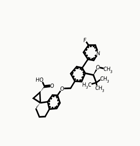 CO[C@H](c1cc(COc2ccc3c(c2)[C@@]2(CCC3)C[C@@H]2C(=O)O)ccc1-c1cncc(F)c1)C(C)(C)C